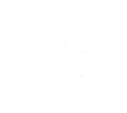 C/C(=C\B1OC(C)(C)C(C)(C)O1)c1c(F)cccc1Cl